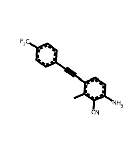 Cc1c(C#Cc2ccc(C(F)(F)F)cc2)ccc(N)c1C#N